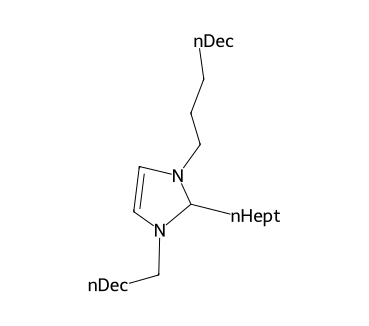 CCCCCCCCCCCCCN1C=CN(CCCCCCCCCCC)C1CCCCCCC